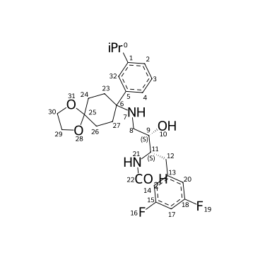 CC(C)c1cccc(C2(NC[C@H](O)[C@H](Cc3cc(F)cc(F)c3)NC(=O)O)CCC3(CC2)OCCO3)c1